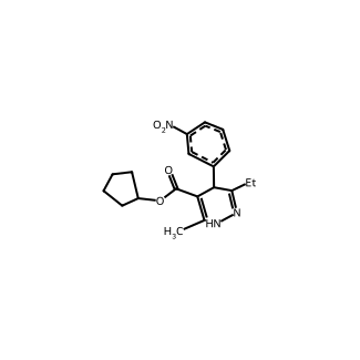 CCC1=NNC(C)=C(C(=O)OC2CCCC2)C1c1cccc([N+](=O)[O-])c1